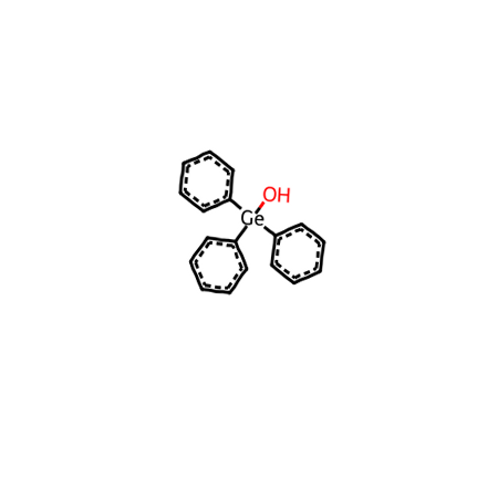 [OH][Ge]([c]1ccccc1)([c]1ccccc1)[c]1ccccc1